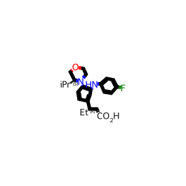 CC[C@H](CC(=O)O)c1ccc(N2CCOC[C@@H]2C(C)C)c(Nc2ccc(F)cc2)c1